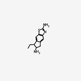 CCC1c2cc3sc(N)nc3cc2CC1N